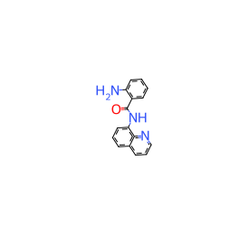 Nc1ccccc1C(=O)Nc1cccc2cccnc12